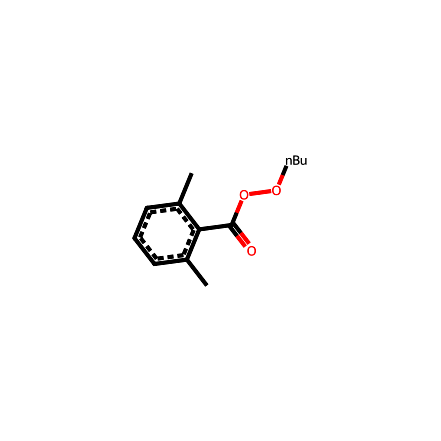 [CH2]CCCOOC(=O)c1c(C)cccc1C